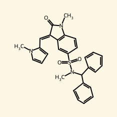 CN1C(=O)/C(=C/c2cccn2C)c2cc(S(=O)(=O)N(C)C(c3ccccc3)c3ccccc3)ccc21